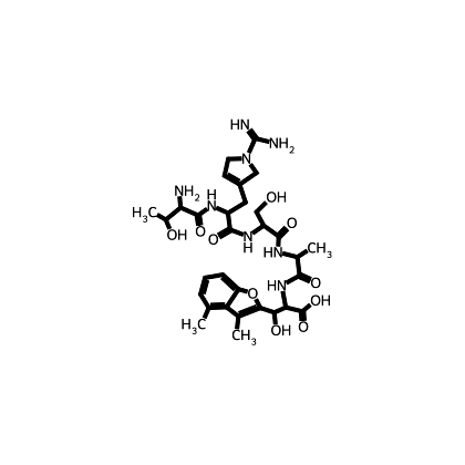 Cc1cccc2oc(C(O)C(NC(=O)C(C)NC(=O)C(CO)NC(=O)C(CC3=CCN(C(=N)N)C3)NC(=O)C(N)C(C)O)C(=O)O)c(C)c12